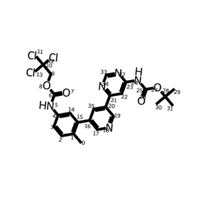 Cc1ccc(NC(=O)OCC(Cl)(Cl)Cl)cc1-c1cncc(-c2cc(NC(=O)OC(C)(C)C)ncn2)c1